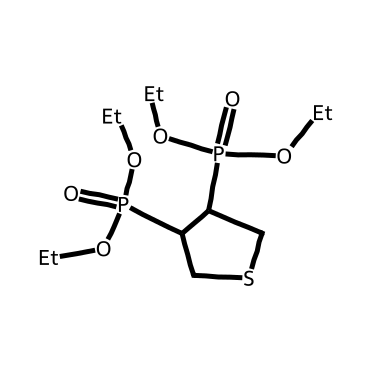 CCOP(=O)(OCC)C1CSCC1P(=O)(OCC)OCC